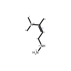 C/C(=C/CNN)N(C)C